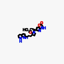 O=C(O)C[C@@H](c1cnc2c(c1)OC(=O)CN2)N1CCC(CCCC2=CC=C3CCCNC3N2)C1=O